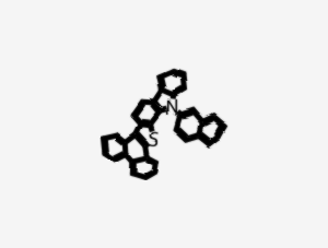 c1ccc2cc(-n3c4ccccc4c4ccc5c(sc6c7ccccc7c7ccccc7c56)c43)ccc2c1